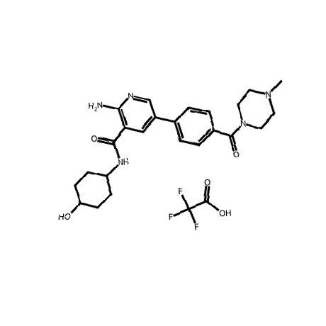 CN1CCN(C(=O)c2ccc(-c3cnc(N)c(C(=O)NC4CCC(O)CC4)c3)cc2)CC1.O=C(O)C(F)(F)F